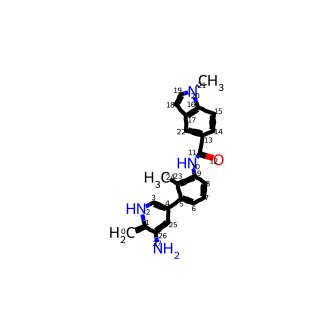 C=C1NC=C(c2cccc(NC(=O)c3ccc4c(ccn4C)c3)c2C)C=C1N